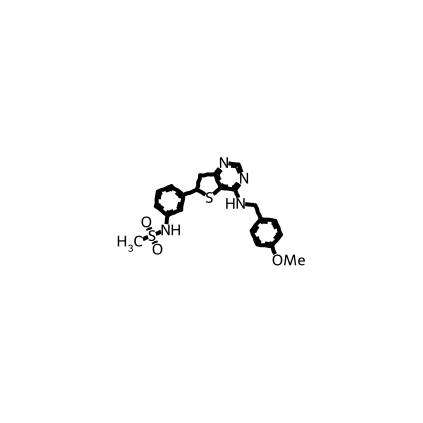 COc1ccc(CNc2ncnc3c2SC(c2cccc(NS(C)(=O)=O)c2)C3)cc1